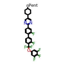 CCCCCC1CCC(c2cnc(-c3ccc(-c4ccc(C(F)(F)Oc5cc(F)c(F)c(F)c5)c(F)c4)c(F)c3)nc2)CC1